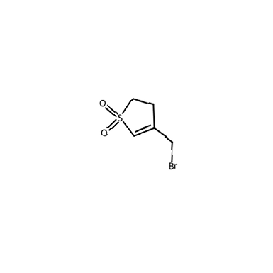 O=S1(=O)C=C(CBr)CC1